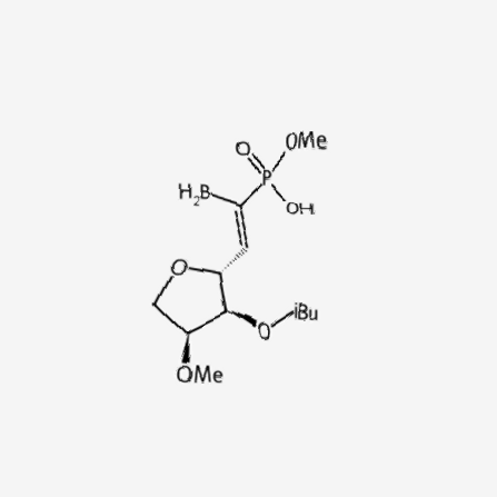 B/C(=C\[C@H]1OC[C@H](OC)[C@@H]1OC(C)CC)P(=O)(O)OC